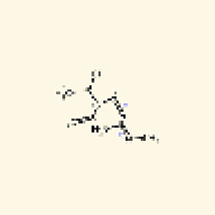 C/N=C(N)\C=C/N(C=O)C(C)C